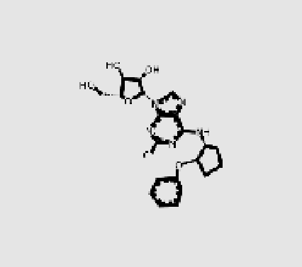 OC[C@H]1O[C@@H](n2cnc3c(N[C@H]4CCC[C@H]4Oc4ccccc4)nc(Cl)nc32)[C@H](O)[C@@H]1O